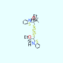 CCOC(C(CSSSSSCC(c1nc2ccccc2s1)C(OCC)[SiH](C)C)c1nc2ccccc2s1)[SiH](C)C